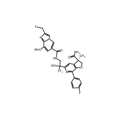 COc1cc(C(=O)NCC(O)(c2cc3c(c(-c4ccc(F)cc4)n2)OC[C@]3(C)C(N)=O)C(F)(F)F)cn2cc(CF)nc12